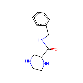 O=C(N[CH]c1ccccc1)C1CNCCN1